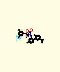 Cc1cc([C@H]2OC(=O)N(Cc3cc(C)ccc3-c3cc(C(C)C)ccc3C)[C@H]2C)cc(C(F)(F)F)c1